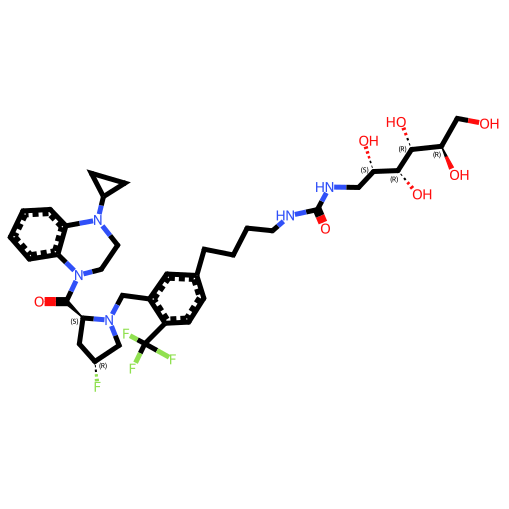 O=C(NCCCCc1ccc(C(F)(F)F)c(CN2C[C@H](F)C[C@H]2C(=O)N2CCN(C3CC3)c3ccccc32)c1)NC[C@H](O)[C@@H](O)[C@H](O)[C@H](O)CO